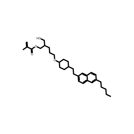 C=C(C)C(=O)OCC(CO)CCCOC1CCC(CCc2ccc3cc(CCCCC)ccc3c2)CC1